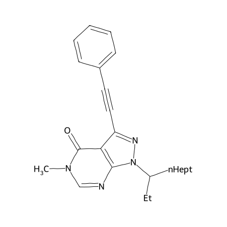 CCCCCCCC(CC)n1nc(C#Cc2ccccc2)c2c(=O)n(C)cnc21